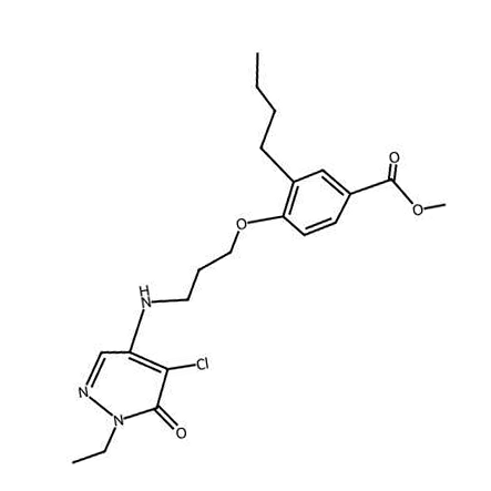 CCCCc1cc(C(=O)OC)ccc1OCCCNc1cnn(CC)c(=O)c1Cl